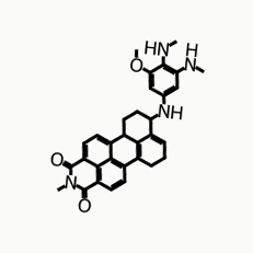 CNc1cc(NC2CCC3C4=C(CCC=C42)c2ccc4c5c(ccc3c25)C(=O)N(C)C4=O)cc(OC)c1NC